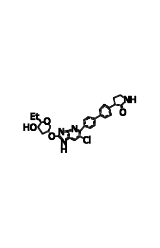 CC[C@H]1OC[C@H](Oc2nc3nc(-c4ccc(-c5ccc(C6CCNC6=O)cc5)cc4)c(Cl)cc3[nH]2)C[C@@H]1O